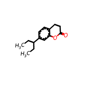 CCC(CC)c1ccc2c(c1)OC(=O)CC2